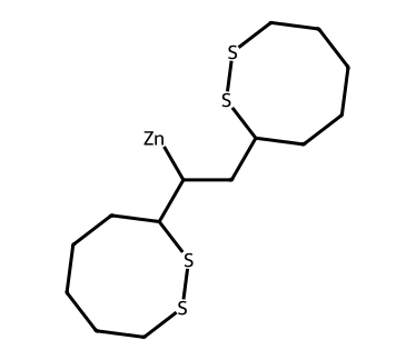 [Zn][CH](CC1CCCCCSS1)C1CCCCCSS1